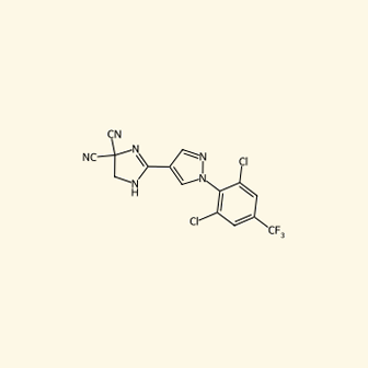 N#CC1(C#N)CNC(c2cnn(-c3c(Cl)cc(C(F)(F)F)cc3Cl)c2)=N1